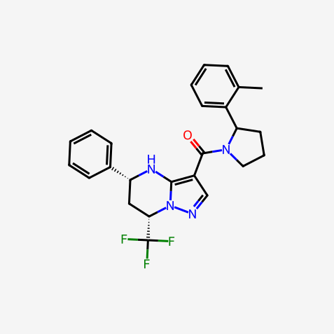 Cc1ccccc1C1CCCN1C(=O)c1cnn2c1N[C@@H](c1ccccc1)C[C@H]2C(F)(F)F